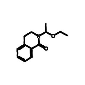 CCOC(C)N1CCc2ccccc2C1=O